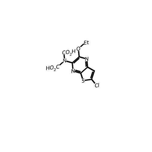 CCOc1nc2cc(Cl)sc2nc1N(C(=O)O)C(=O)O